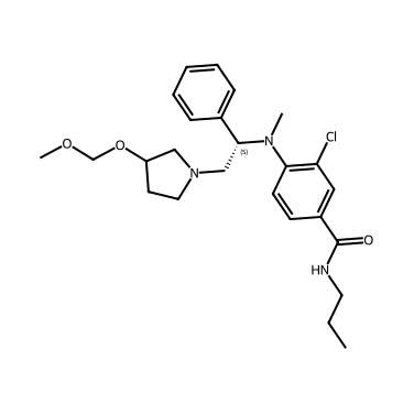 CCCNC(=O)c1ccc(N(C)[C@H](CN2CCC(OCOC)C2)c2ccccc2)c(Cl)c1